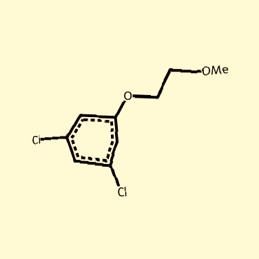 COCCOc1cc(Cl)cc(Cl)c1